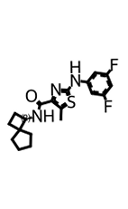 Cc1sc(Nc2cc(F)cc(F)c2)nc1C(=O)N[C@@H]1CCC12CCCC2